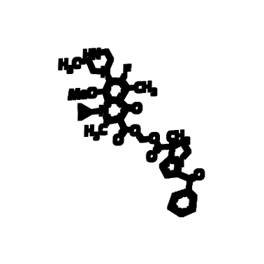 COc1c(N2CCNC(C)C2)c(F)c(C)c2c(=O)c(C(=O)OCOC(=O)C3(C)CCn4c(C(=O)c5ccccc5)ccc43)c(C)n(C3CC3)c12